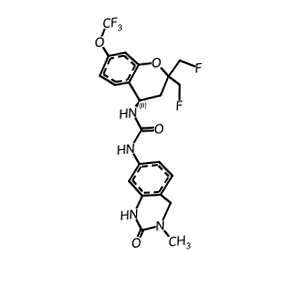 CN1Cc2ccc(NC(=O)N[C@@H]3CC(CF)(CF)Oc4cc(OC(F)(F)F)ccc43)cc2NC1=O